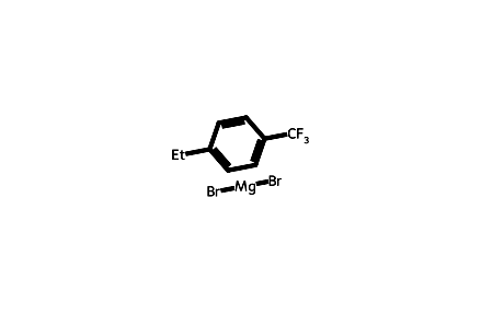 CCc1ccc(C(F)(F)F)cc1.[Br][Mg][Br]